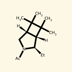 CC[C@@H]1[C@@H]2[C@H](CN1C(C)=O)C(C)(C)C2(C)C